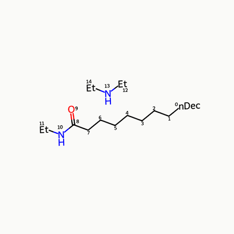 CCCCCCCCCCCCCCCCCC(=O)NCC.CCNCC